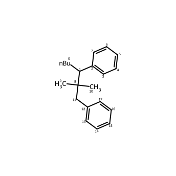 [CH2]CCCC(c1ccccc1)C(C)(C)Cc1ccccc1